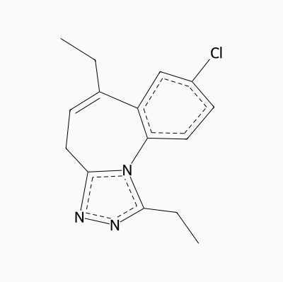 CCC1=CCc2nnc(CC)n2-c2ccc(Cl)cc21